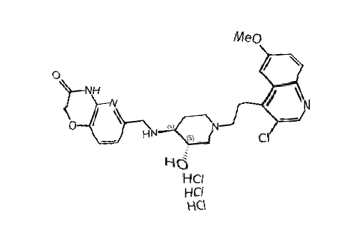 COc1ccc2ncc(Cl)c(CCN3CC[C@H](NCc4ccc5c(n4)NC(=O)CO5)[C@@H](O)C3)c2c1.Cl.Cl.Cl